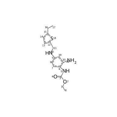 CCOC(=O)Nc1ccc(NCc2ccc(CC)s2)cc1N